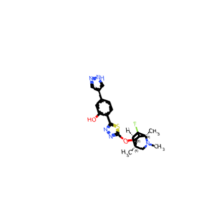 CN1C[C@@]2(C)CC[C@]1(C)C(F)[C@@H]2Oc1nnc(-c2ccc(-c3cn[nH]c3)cc2O)s1